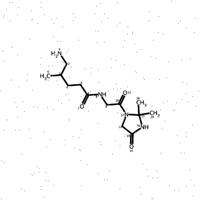 CC(CN)CCC(=O)NCC(=O)N1CC(=O)NC1(C)C